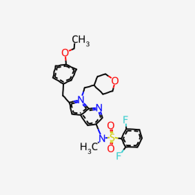 CCOc1ccc(Cc2cc3cc(N(C)S(=O)(=O)c4c(F)cccc4F)cnc3n2CC2CCOCC2)cc1